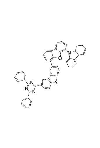 C1=CC2c3ccccc3N(c3cccc4c3oc3c(-c5ccc6sc7ccc(-c8nc(-c9ccccc9)nc(-c9ccccc9)n8)cc7c6c5)cccc34)C2CC1